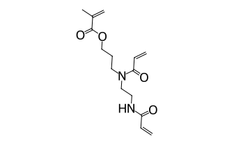 C=CC(=O)NCCN(CCCOC(=O)C(=C)C)C(=O)C=C